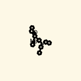 c1ccc(-c2ccc(N(c3ccc(-c4cc5oc6c7ccccc7ccc6c5cc4-c4nc5ccccc5o4)cc3)c3ccc4ccccc4c3)cc2)cc1